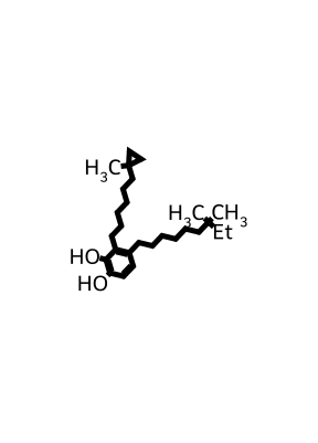 CCC(C)(C)CCCCCCc1ccc(O)c(O)c1CCCCCCC1(C)CC1